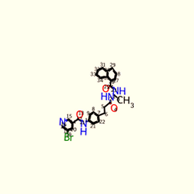 CC(NC(=O)CCc1ccc(NC(=O)c2cncc(Br)c2)cc1)NC(=O)c1cccc2ccccc12